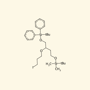 CC(C)(C)[Si](C)(C)OCCC(CO[Si](c1ccccc1)(c1ccccc1)C(C)(C)C)OCCCI